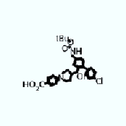 CC(C)(C)OC(=O)NCc1ccc(-c2ccc(Cl)cc2)c([C@H](O)C2CCN(c3ccc(C(=O)O)cc3)CC2)c1